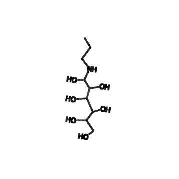 CCCNC(O)C(O)C(O)C(O)C(O)CO